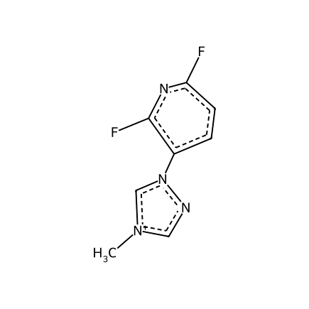 C[n+]1cnn(-c2ccc(F)nc2F)c1